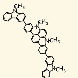 CN1C2=C(CCC(c3ccc4c(c3)c3ccccc3n4C)=C2)c2ccc3c4c(ccc1c24)N(C)c1cc(-c2ccc4c(c2)c2ccccc2n4C)ccc1-3